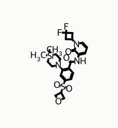 C[Si]1(C)CCN(c2cc(S(=O)(=O)C3COC3)ccc2C(=O)Nc2cccn(C3CC(F)(F)C3)c2=O)CC1